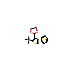 C[Si](C)(C)c1sccc1C1OCCO1.c1cc2cc(c1)S2